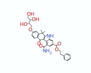 CC1(C)c2cc(OCC(O)C(O)CO)ccc2C(=O)c2c1[nH]c1cc(C(=O)OCCc3ccccc3)cc(C(N)=O)c21